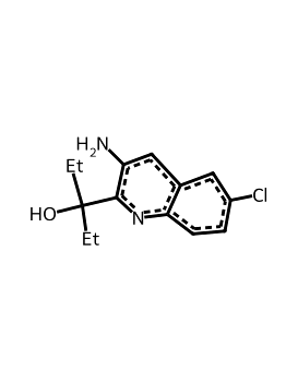 CCC(O)(CC)c1nc2ccc(Cl)cc2cc1N